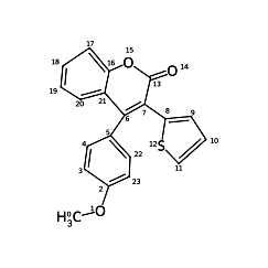 COc1ccc(-c2c(-c3cccs3)c(=O)oc3ccccc23)cc1